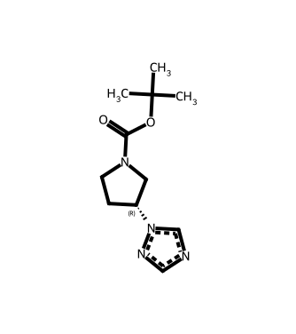 CC(C)(C)OC(=O)N1CC[C@@H](n2cncn2)C1